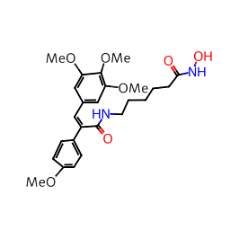 COc1ccc(/C(=C/c2cc(OC)c(OC)c(OC)c2)C(=O)NCCCCCC(=O)NO)cc1